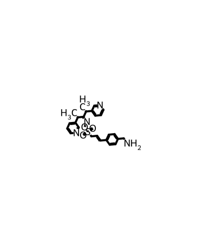 CC(C(=NOS(=O)(=O)CC=Cc1ccc(CN)cc1)C(C)c1cccnc1)c1cccnc1